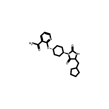 NC(=O)c1cccnc1O[C@H]1CC[C@H](N2C(=O)NC(CC3CCCC3)C2=O)CC1